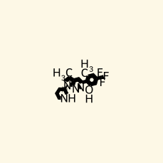 Cc1cc(C(F)(F)F)cc(O)c1-c1cc2c(C)cn([C@@H]3CCCNC3)c2nn1